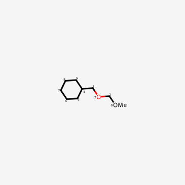 COCOCC1CCCCC1